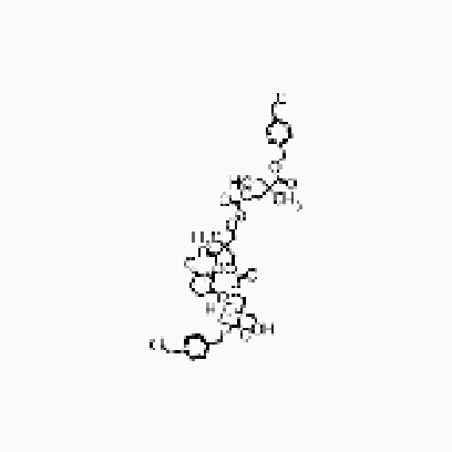 CC(CO)(COC(=O)OCC(C)(COOC(=O)OCC(C)(CO)C(=O)OCc1ccc(CCl)cc1)C(=O)ON1C(=O)CCC1=O)C(=O)OCc1ccc(CCl)cc1